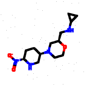 O=[N+]([O-])[C@@H]1CC[C@@H](N2CCO[C@H](CNC3CC3)C2)CN1